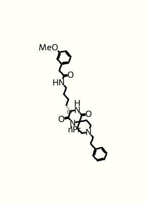 CCCN1C(=O)[C@H](CCCCNC(=O)Cc2cccc(OC)c2)NC(=O)C12CCN(CCc1ccccc1)CC2